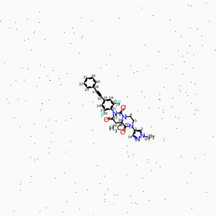 CC(C)n1cc(N2CCN3C(=O)N(c4c(F)cc(C#Cc5ccccc5)cc4F)C(=O)C[C@@]3(C)C2=O)cn1